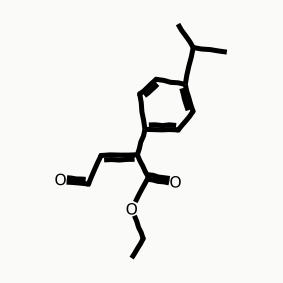 CCOC(=O)C(=CC=O)c1ccc(C(C)C)cc1